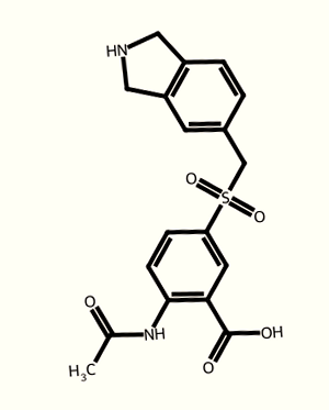 CC(=O)Nc1ccc(S(=O)(=O)Cc2ccc3c(c2)CNC3)cc1C(=O)O